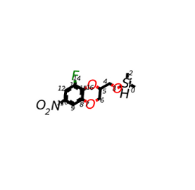 C[SiH](C)OCC1COc2cc([N+](=O)[O-])cc(F)c2O1